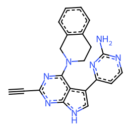 C#Cc1nc(N2CCc3ccccc3C2)c2c(-c3ccnc(N)n3)c[nH]c2n1